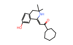 CC1(C)Cc2ccc(O)cc2/C(=C/C(=O)C2CCCCCC2)N1